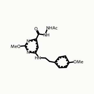 COc1ccc(CCNc2cc(C(=O)NNC(C)=O)nc(OC)n2)cc1